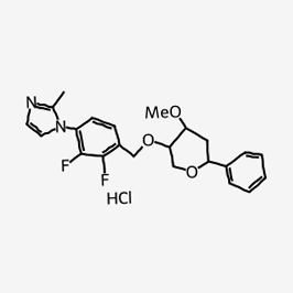 COC1CC(c2ccccc2)OCC1OCc1ccc(-n2ccnc2C)c(F)c1F.Cl